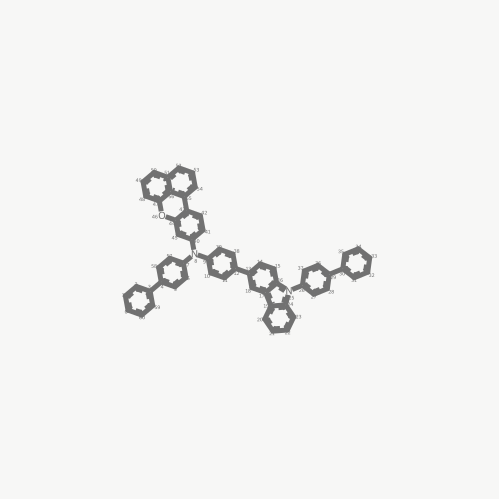 c1ccc(-c2ccc(N(c3ccc(-c4ccc5c(c4)c4ccccc4n5-c4ccc(-c5ccccc5)cc4)cc3)c3ccc4c(c3)Oc3cccc5cccc-4c35)cc2)cc1